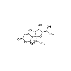 C[SiH](C)[C@@]1(n2ccc(=O)[nH]c2=O)O[C@H](C(O)C(C)(C)C)[C@@H](O)[C@H]1O